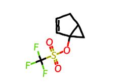 O=S(=O)(OC12C=CCC1C2)C(F)(F)F